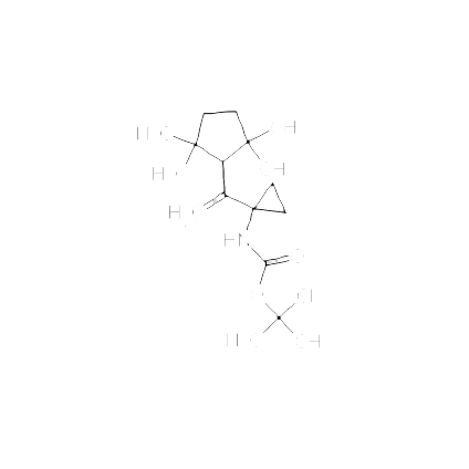 C=C(C1C(C)(C)CCC1(C)C)C1(NC(=O)OC(C)(C)C)CC1